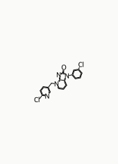 O=c1nc2n(Cc3ccc(Cl)nc3)cccc-2n1-c1cccc(Cl)c1